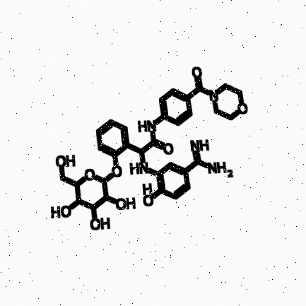 N=C(N)c1ccc(O)c(NC(C(=O)Nc2ccc(C(=O)N3CCOCC3)cc2)c2ccccc2OC2OC(CO)C(O)C(O)C2O)c1